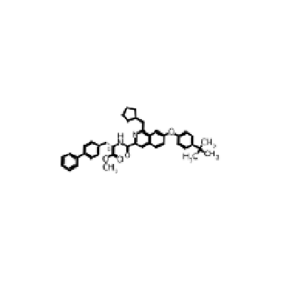 COC(=O)[C@H](Cc1ccc(-c2ccccc2)cc1)NC(=O)c1cc2ccc(Oc3ccc(C(C)(C)C)cc3)cc2c(CC2CCCC2)n1